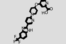 O=C(O)c1cc(OC2CCN(c3ccc(-c4nc5cc(C(F)(F)F)ccc5[nH]4)cn3)CC2)ccn1